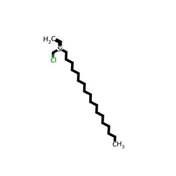 C=C[SiH](CCl)CCCCCCCCCCCCCCCCCC